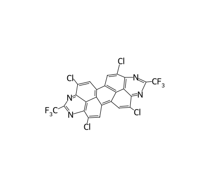 FC(F)(F)c1nc2c(Cl)cc3c4cc(Cl)c5nc(C(F)(F)F)nc6c(Cl)cc(c7cc(Cl)c(n1)c2c37)c4c56